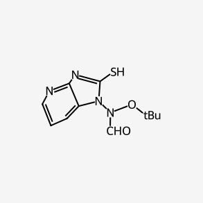 CC(C)(C)ON(C=O)n1c(S)nc2ncccc21